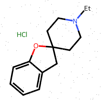 CCN1CCC2(CC1)Cc1ccccc1O2.Cl